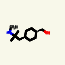 CC(C)(C[C@H]1CC[C@H](CO)CC1)NC(=O)O